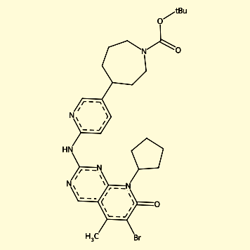 Cc1c(Br)c(=O)n(C2CCCC2)c2nc(Nc3ccc(C4CCCN(C(=O)OC(C)(C)C)CC4)cn3)ncc12